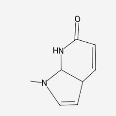 CN1C=CC2C=CC(=O)NC21